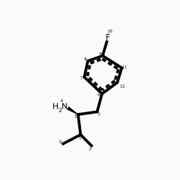 CC(C)[C@@H](N)Cc1ccc(F)cc1